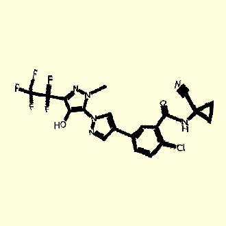 Cn1nc(C(F)(F)C(F)(F)F)c(O)c1-n1cc(-c2ccc(Cl)c(C(=O)NC3(C#N)CC3)c2)cn1